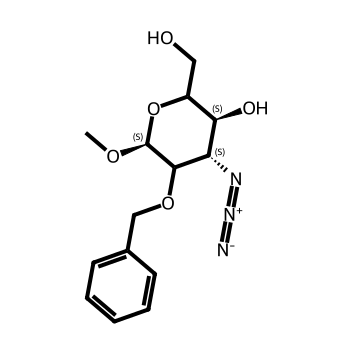 CO[C@H]1OC(CO)[C@@H](O)[C@H](N=[N+]=[N-])C1OCc1ccccc1